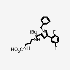 CC(C)(C)[C@@H](NCCCNC(=O)O)c1cc(-c2cc(F)ccc2F)cn1Cc1ccccc1